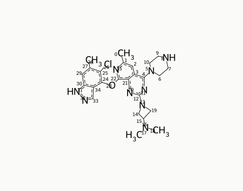 Cc1cc2c(N3CCNCC3)nc(N3CC(N(C)C)C3)nc2c(Oc2c(Cl)c(C)cc3[nH]ncc23)n1